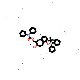 CC(C)(C)[Si](Oc1cccc2c1CCC(O)C(COC(=O)N(c1ccccc1)c1ccccc1)C2)(c1ccccc1)c1ccccc1